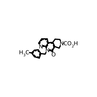 Cc1ccc(Cn2c(=O)c3c(c4cccnc42)CCN(C(=O)O)C3)cc1